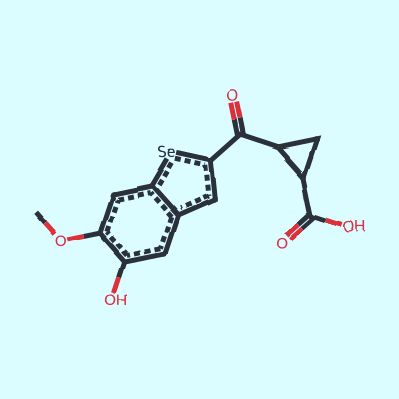 COc1cc2[se]c(C(=O)C3CC3C(=O)O)cc2cc1O